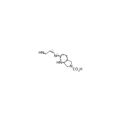 N=C/C=C\N=c1/ccc2c([nH]1)CN(C(=O)O)C2